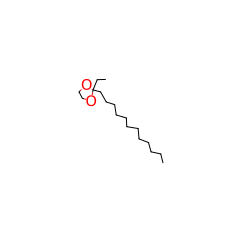 CCCCCCCCCCCCC1(CC)OCCO1